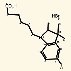 Br.CC1N(CCCCCC(=O)O)c2ccc(I)cc2C1(C)C